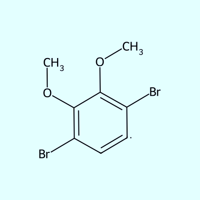 COc1c(Br)[c]cc(Br)c1OC